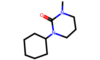 CN1CCCN(C2CCCCC2)C1=O